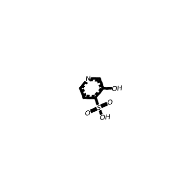 O=S(=O)(O)c1ccncc1O